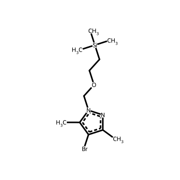 Cc1nn(COCC[Si](C)(C)C)c(C)c1Br